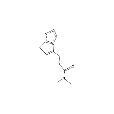 CN(C)C(=O)OCC1=CCc2cccn21